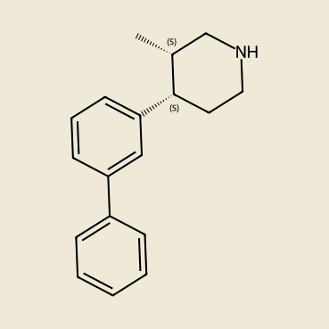 C[C@@H]1CNCC[C@@H]1c1cccc(-c2ccccc2)c1